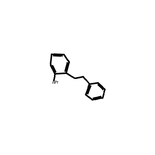 CCCc1ccccc1CCc1ccccc1